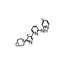 Cc1ccnc(Nc2cccc(-c3cnc(N4CCOCC4)s3)n2)c1